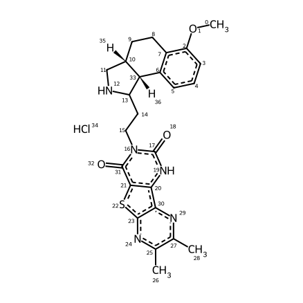 COc1cccc2c1CC[C@H]1CNC(CCn3c(=O)[nH]c4c(sc5nc(C)c(C)nc54)c3=O)[C@@H]21.Cl